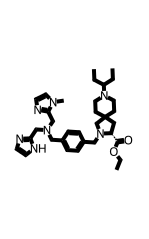 CCOC(=O)[C@H]1CC2(CCN(C(CC)CC)CC2)CN1Cc1ccc(CN(Cc2ncc[nH]2)Cc2nccn2C)cc1